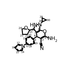 N#CC1=C(N)OC2=C(C1c1ccc(-n3cccc3)cc1)C(C1CCCO1)NN2C1CC1